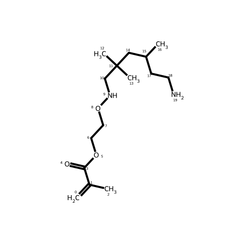 C=C(C)C(=O)OCCONCC(C)(C)CC(C)CCN